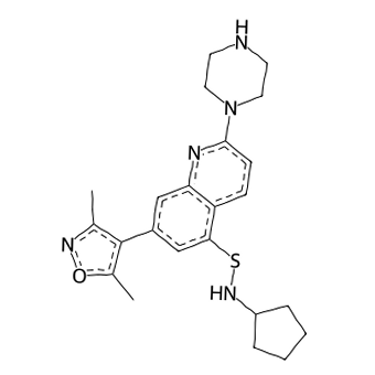 Cc1noc(C)c1-c1cc(SNC2CCCC2)c2ccc(N3CCNCC3)nc2c1